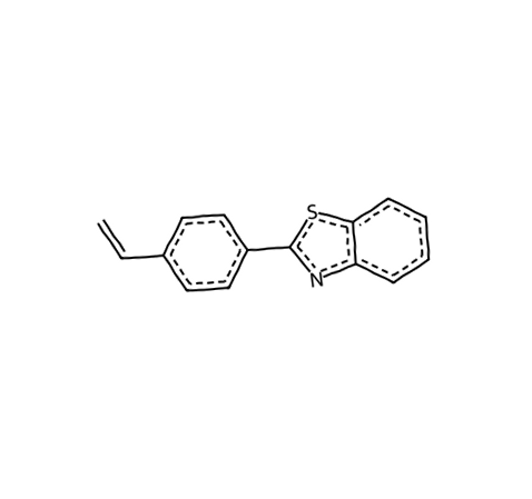 C=Cc1ccc(-c2nc3ccccc3s2)cc1